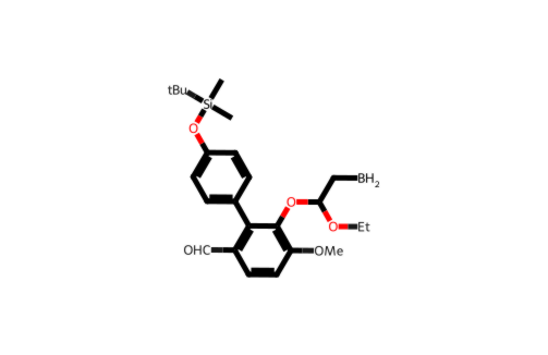 BCC(OCC)Oc1c(OC)ccc(C=O)c1-c1ccc(O[Si](C)(C)C(C)(C)C)cc1